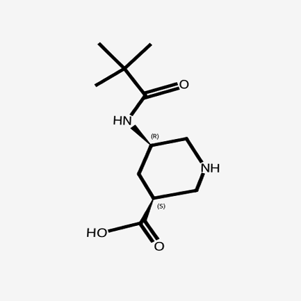 CC(C)(C)C(=O)N[C@H]1CNC[C@@H](C(=O)O)C1